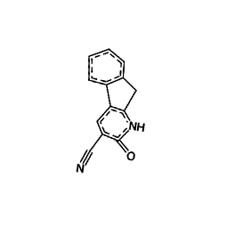 N#Cc1cc2c([nH]c1=O)Cc1ccccc1-2